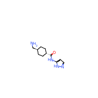 NC[C@H]1CC[C@H](C(=O)Nc2ccn[nH]2)CC1